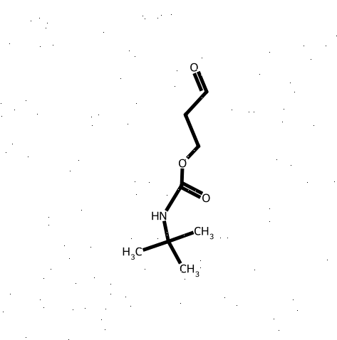 CC(C)(C)NC(=O)OCCC=O